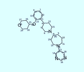 c1ccc(C2CCN([C@@H]3CCCN(c4cncnc4)CC3)CC2)c(OC2CCOCC2)c1